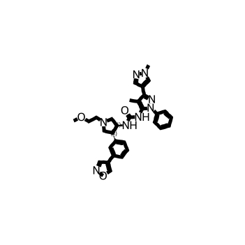 COCCN1C[C@@H](NC(=O)Nc2c(C)c(-c3cnn(C)c3)nn2-c2ccccc2)[C@H](c2cccc(-c3cnoc3)c2)C1